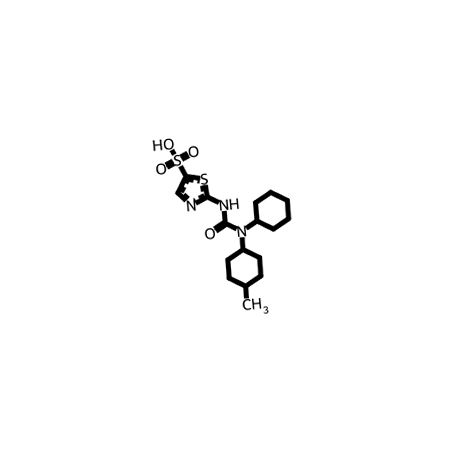 CC1CCC(N(C(=O)Nc2ncc(S(=O)(=O)O)s2)C2CCCCC2)CC1